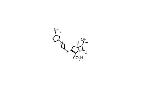 CC(O)[C@H]1C(=O)N2C(C(=O)O)=C(SC3CN([C@H]4CC[C@@H](N)C4)C3)[C@H](C)[C@H]12